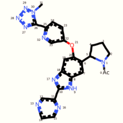 CC(=O)N1CCCC1c1cc2[nH]c(-c3cnccn3)nc2cc1Oc1ccc(-c2nnnn2C)nc1